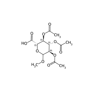 COC1O[C@H](C(=O)O)[C@@H](OC(C)=O)[C@H](OC(C)=O)[C@H]1OC(C)=O